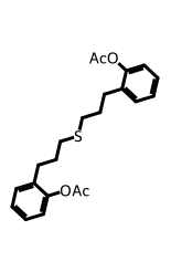 CC(=O)Oc1ccccc1CCCSCCCc1ccccc1OC(C)=O